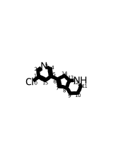 Clc1cncc(C2=CC3CCCNC3C2)c1